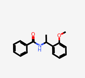 COc1ccccc1C(C)NC(=O)c1ccccc1